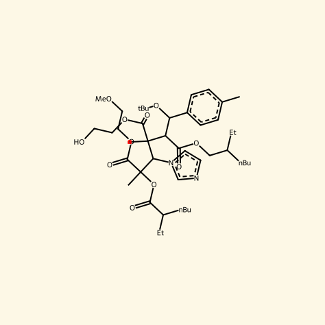 CCCCC(CC)COC(=O)C(C(OC(C)(C)C)c1ccc(C)cc1)C(C)(C(=O)OCCO)C(n1ccnc1)C(C)(OC(=O)C(CC)CCCC)C(=O)OCCOC